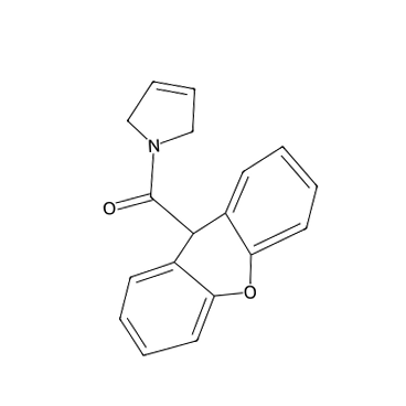 O=C(C1c2ccccc2Oc2ccccc21)N1CC=CC1